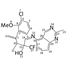 C=C(c1cccc(Cl)c1OC)C(C)C(O)(/C=N\c1cccc2nc(C)ncc12)C(F)(F)F